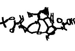 CN(C(=O)O)c1cc(F)c(Cl)c2c1[nH]c1ncc(Br)c(N3CC[C@]4(C[C@@H]4NC(=O)OC(C)(C)C)C3)c12